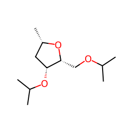 CC(C)OC[C@H]1O[C@@H](C)C[C@H]1OC(C)C